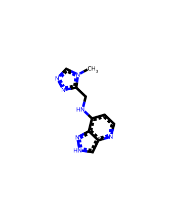 Cn1cnnc1CNc1ccnc2c[nH]nc12